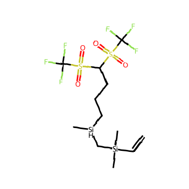 C=C[Si](C)(C)C[SiH](C)CCCC(S(=O)(=O)C(F)(F)F)S(=O)(=O)C(F)(F)F